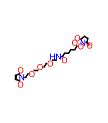 O=C(CCCCC(=O)ON1C(=O)CCC1=O)NCCOCCOCCOCCN1C(=O)C=CC1=O